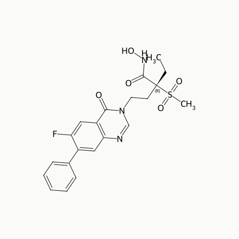 CC[C@@](CCn1cnc2cc(-c3ccccc3)c(F)cc2c1=O)(C(=O)NO)S(C)(=O)=O